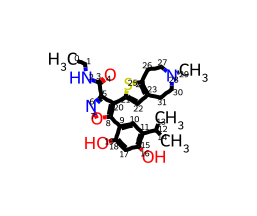 CCNC(=O)c1noc(-c2cc(C(C)C)c(O)cc2O)c1-c1cc2c(s1)CCN(C)CC2